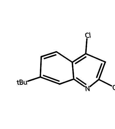 CC(C)(C)c1ccc2c(Cl)cc(Cl)nc2c1